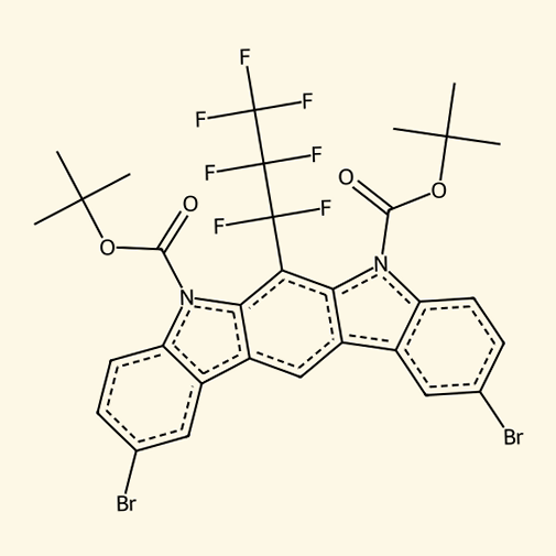 CC(C)(C)OC(=O)n1c2ccc(Br)cc2c2cc3c4cc(Br)ccc4n(C(=O)OC(C)(C)C)c3c(C(F)(F)C(F)(F)C(F)(F)F)c21